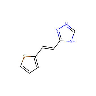 C(=Cc1cccs1)c1nnc[nH]1